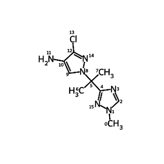 Cn1cnc(C(C)(C)n2cc(N)c(Cl)n2)n1